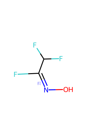 O/N=C(/F)C(F)F